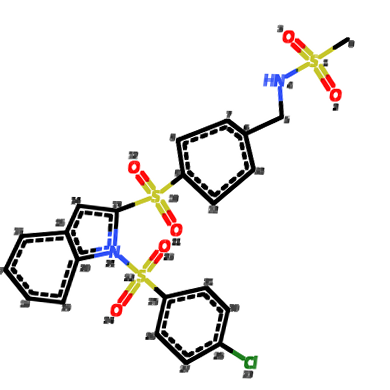 CS(=O)(=O)NCc1ccc(S(=O)(=O)c2cc3ccccc3n2S(=O)(=O)c2ccc(Cl)cc2)cc1